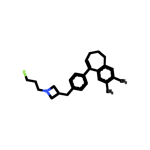 Cc1cc2c(cc1C)C(c1ccc(CC3CN(CCCF)C3)cc1)=CCCC2